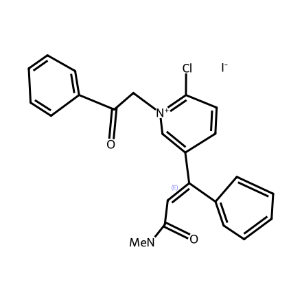 CNC(=O)/C=C(\c1ccccc1)c1ccc(Cl)[n+](CC(=O)c2ccccc2)c1.[I-]